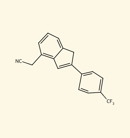 N#CCc1cccc2c1C=C(c1ccc(C(F)(F)F)cc1)C2